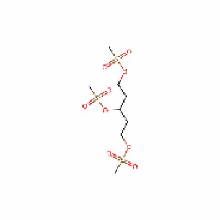 CS(=O)(=O)OCCC(CCOS(C)(=O)=O)OS(C)(=O)=O